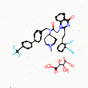 CN1CCC(N(Cc2ccc(-c3ccc(C(F)(F)F)cc3)cc2)C(=O)Cn2c(CCc3cccc(F)c3F)nc(=O)c3ccccc32)CC1.O=C(O)C(O)C(O)C(=O)O